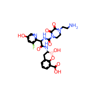 NCCN1CCN(C(=O)NC(C(=O)N[C@H]2Cc3cccc(C(=O)O)c3OB2O)c2ncc(O)cc2F)C(=O)C1=O